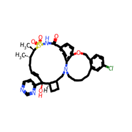 C[C@@H]1[C@@H](C)C/C=C/[C@@](O)(c2ccncn2)[C@@H]2CCC2CN2CCCCc3cc(Cl)ccc3COc3ccc(cc32)C(=O)NS1(=O)=O